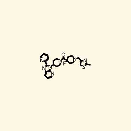 CC1=NC(CN2CCC(F)(C(=O)N3CCC(n4c(-c5ccccn5)nc5cccnc54)CC3)CC2)CS1